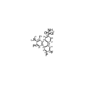 CN(C)c1c(F)cc(-c2cc(F)c(F)cc2-c2ccc(S(N)(=O)=O)cc2)cc1F